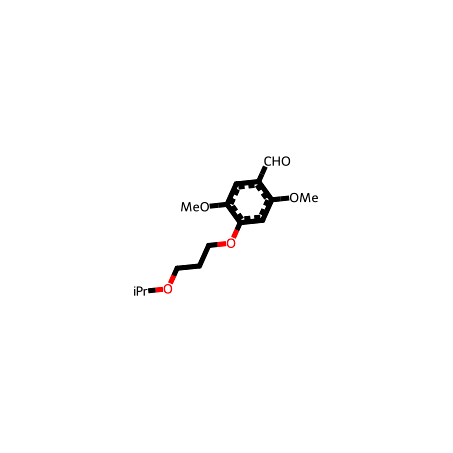 COc1cc(OCCCOC(C)C)c(OC)cc1C=O